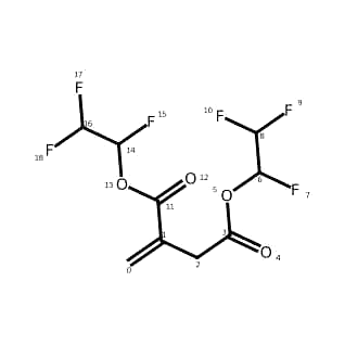 C=C(CC(=O)OC(F)C(F)F)C(=O)OC(F)C(F)F